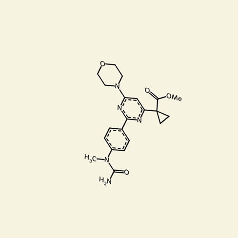 COC(=O)C1(c2cc(N3CCOCC3)nc(-c3ccc(N(C)C(N)=O)cc3)n2)CC1